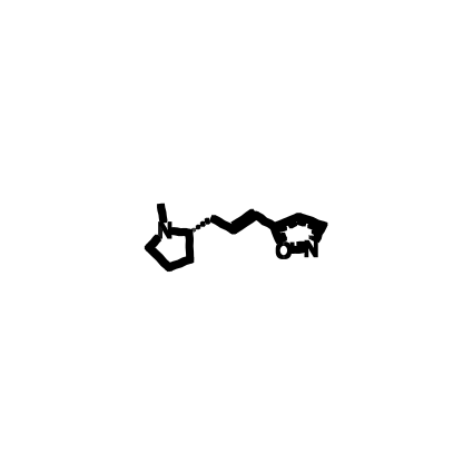 CN1CCC[C@H]1CC=Cc1ccno1